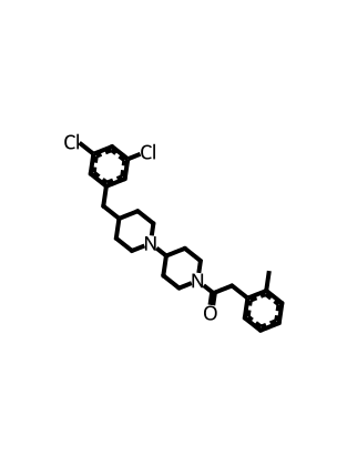 Cc1ccccc1CC(=O)N1CCC(N2CCC(Cc3cc(Cl)cc(Cl)c3)CC2)CC1